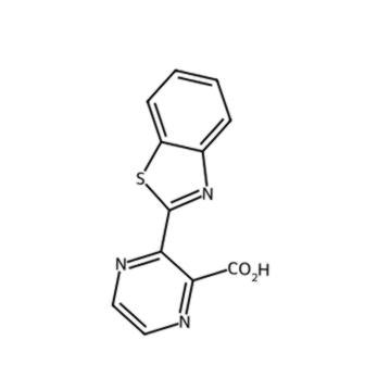 O=C(O)c1nccnc1-c1nc2ccccc2s1